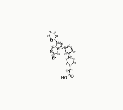 O=C(O)NCC1CCN(c2cncc(-c3nn(C4CCCCO4)c4cnc(Br)cc34)c2)CC1